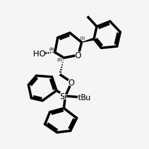 Cc1ccccc1[C@@H]1C=C[C@@H](O)[C@@H](CO[Si](c2ccccc2)(c2ccccc2)C(C)(C)C)O1